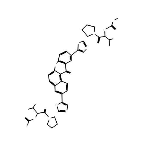 COC(=O)NC(C(=O)N1CCC[C@H]1c1ncc(-c2ccc3oc4ccc5cc(-c6cnc([C@@H]7CCCN7C(=O)C(OC(N)=O)C(C)C)[nH]6)ccc5c4c(=O)c3c2)[nH]1)C(C)C